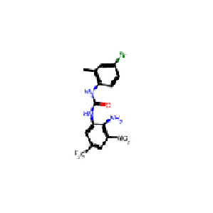 Cc1cc(Br)ccc1NC(=O)Nc1cc(C(F)(F)F)cc([N+](=O)[O-])c1N